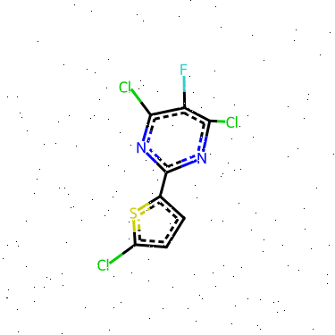 Fc1c(Cl)nc(-c2ccc(Cl)s2)nc1Cl